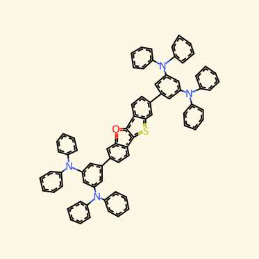 c1ccc(N(c2ccccc2)c2cc(-c3ccc4c(c3)oc3c5ccc(-c6cc(N(c7ccccc7)c7ccccc7)cc(N(c7ccccc7)c7ccccc7)c6)cc5sc43)cc(N(c3ccccc3)c3ccccc3)c2)cc1